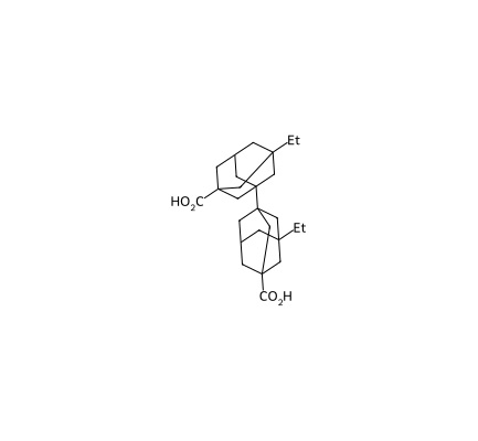 CCC12CC3CC(C(=O)O)(C1)CC(C14CC5CC(CC)(CC(C(=O)O)(C5)C1)C4)(C3)C2